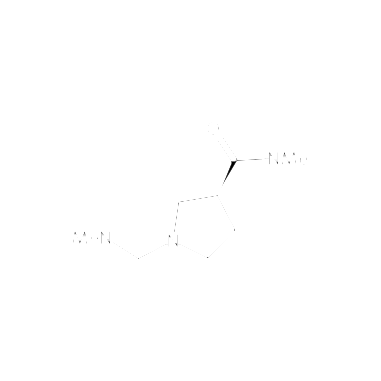 CNCN1CC[C@H](C(=O)NC)C1